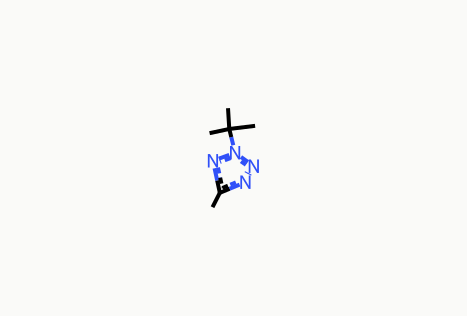 Cc1nnn(C(C)(C)C)n1